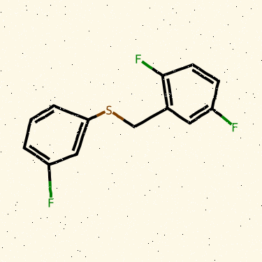 Fc1cc[c]c(SCc2cc(F)ccc2F)c1